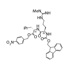 CNC(=N)NCCC[C@@H](NC(=O)OCC1c2ccccc2-c2ccccc21)C(=O)N[C@@H](CC(C)C)C(=O)OCc1ccc([N+](=O)[O-])cc1